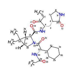 C=CC(=O)[C@H](C[C@@H]1CCNC1=O)NC(=O)[C@@H]1[C@@H]2[C@H](CN1C(=O)[C@@H](NC(=O)C(F)(F)F)C1CCCCC1)C2(C)C